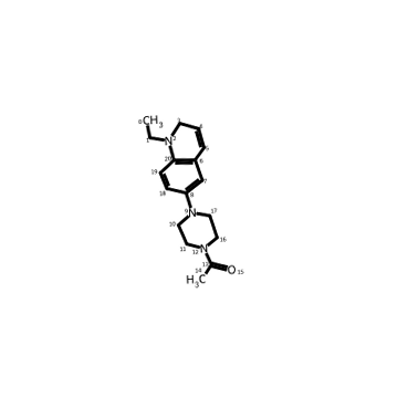 CCN1CC=Cc2cc(N3CCN(C(C)=O)CC3)ccc21